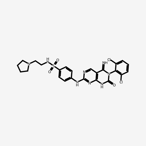 N=c1c2cnc(Nc3ccc(S(=O)(=O)NCCN4CCCC4)cc3)nc2[nH]c(=O)n1-c1c(Cl)cccc1Cl